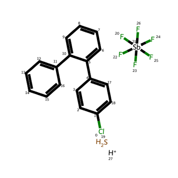 Clc1ccc(-c2ccccc2-c2ccccc2)cc1.S.[F][Sb-]([F])([F])([F])([F])[F].[H+]